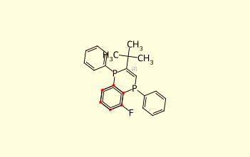 CC(C)(C)/C(=C/P(c1ccccc1)c1ccccc1F)P(c1ccccc1)c1ccccc1